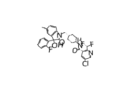 Cc1ccc2c(c1)C(O)(c1ccccc1F)C(=O)N2C[C@H]1CC[C@H](NC(=O)c2cc(Cl)cnc2C(F)F)CC1